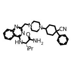 CC(C)[C@H](Nc1nc(CN2CCN(C3CCC(C#N)(c4ccccc4)CC3)CC2)nc2ccccc12)C(N)=O